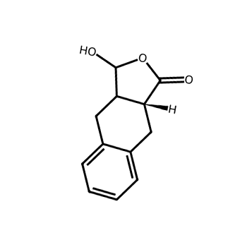 O=C1OC(O)C2Cc3ccccc3C[C@@H]12